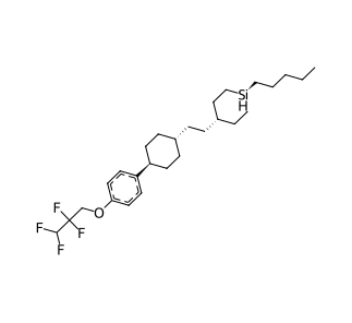 CCCCC[Si@H]1CC[C@H](CC[C@H]2CC[C@H](c3ccc(OCC(F)(F)C(F)F)cc3)CC2)CC1